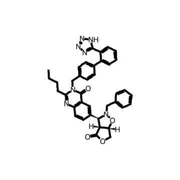 CCCCc1nc2ccc([C@@H]3[C@H]4C(=O)OC[C@H]4ON3Cc3ccccc3)cc2c(=O)n1Cc1ccc(-c2ccccc2-c2nnn[nH]2)cc1